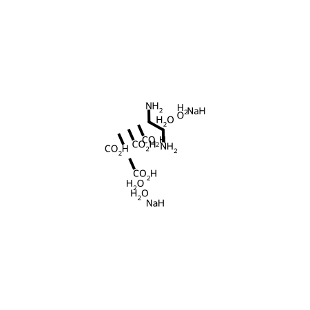 CC(=O)O.CC(=O)O.CC(=O)O.CC(=O)O.NCCN.O.O.O.O.[NaH].[NaH]